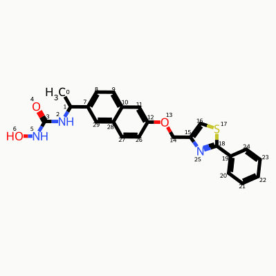 CC(NC(=O)NO)c1ccc2cc(OCc3csc(-c4ccccc4)n3)ccc2c1